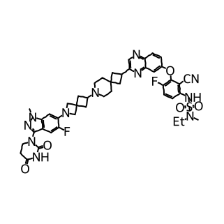 CCN(C)S(=O)(=O)Nc1ccc(F)c(Oc2ccc3ncc(C4CC5(CCN(C6CC7(C6)CN(c6cc8c(cc6F)c(N6CCC(=O)NC6=O)nn8C)C7)CC5)C4)nc3c2)c1C#N